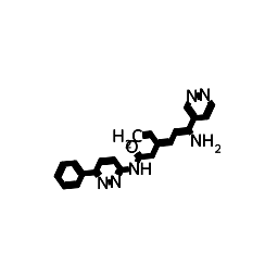 C=C/C(=C\C=C(/N)c1ccnnc1)CC(=O)Nc1ccc(-c2ccccc2)nn1